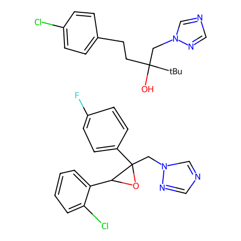 CC(C)(C)C(O)(CCc1ccc(Cl)cc1)Cn1cncn1.Fc1ccc(C2(Cn3cncn3)OC2c2ccccc2Cl)cc1